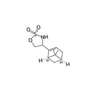 CC1(C)[C@H]2CC=C(C3COS(=O)(=O)N3)[C@@H]1C2